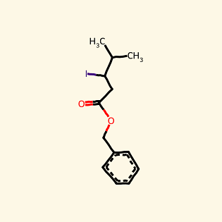 CC(C)C(I)CC(=O)OCc1ccccc1